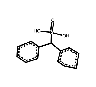 O=P(O)(O)C(c1ccccc1)c1ccccc1